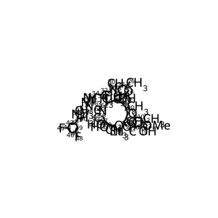 CC[C@H]1OC(=O)[C@H](C)[C@@H](O[C@H]2C[C@@](C)(OC)[C@@H](O)[C@H](C)O2)[C@H](C)[C@@H](O[C@@H]2O[C@H](C)C[C@H](N(C)CCCCc3cn(C[C@H]4CC(c5cc(F)cc(F)c5)=NO4)nn3)[C@H]2O)[C@](C)(O)C[C@@H](C)CN(C)[C@H](C)[C@@H](O)[C@]1(C)O